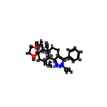 C[C@H]1[C@@H]2CCc3c(nn(C)c3-c3ccccc3)[C@@]2(C)CCC12OCCO2